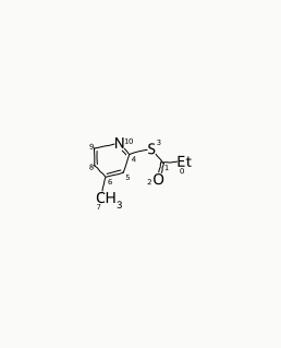 CCC(=O)Sc1cc(C)ccn1